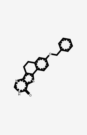 O=c1[nH]cnc2c3c(sc12)-c1ccc(OCc2ccccc2)cc1CC3